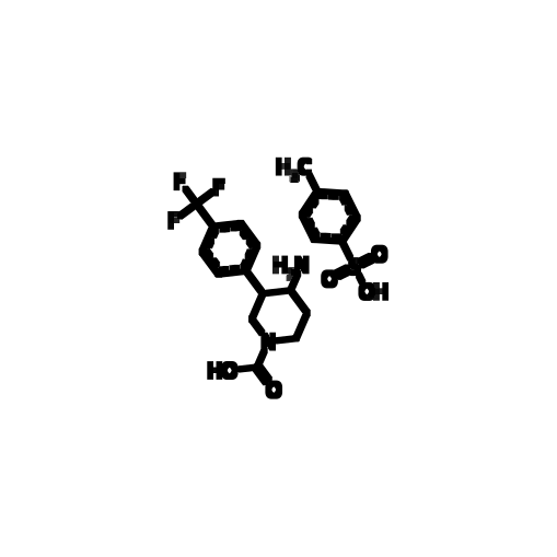 Cc1ccc(S(=O)(=O)O)cc1.NC1CCN(C(=O)O)CC1c1ccc(C(F)(F)F)cc1